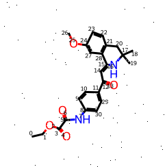 CCOC(=O)C(=O)Nc1ccc(C(=O)C=C2NC(C)(C)Cc3ccc(OC)cc32)cc1